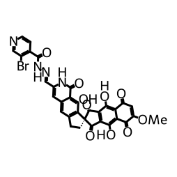 COC1=CC(=O)c2c(O)c3c(c(O)c2C1=O)C(=O)[C@]1(CCc2cc4cc(C=NNC(=O)c5ccncc5Br)[nH]c(=O)c4c(O)c21)C3=O